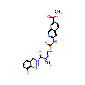 COC(=O)c1ccc2cc(NC(=O)OCCN(C)C(=O)NCc3cccc(F)c3Cl)ncc2c1